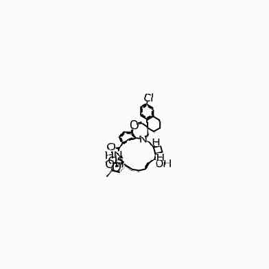 C[C@@H](O)C[C@H]1CC/C=C/[C@H](O)[C@@H]2CC[C@H]2CN2C[C@@]3(CCCc4cc(Cl)ccc43)COc3ccc(cc32)C(=O)NS1(=O)=O